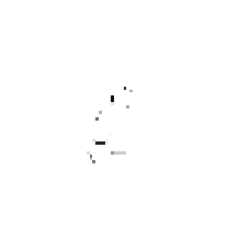 COC(=O)c1nccc2c1CN(Cc1ccc(OC)cc1)C2(C)C